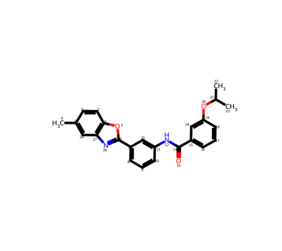 Cc1ccc2oc(-c3cccc(NC(=O)c4cccc(OC(C)C)c4)c3)nc2c1